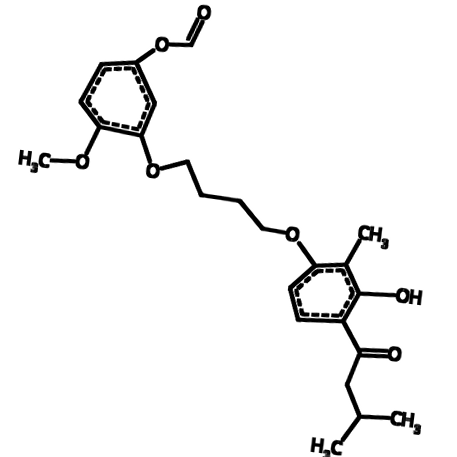 COc1ccc(OC=O)cc1OCCCCOc1ccc(C(=O)CC(C)C)c(O)c1C